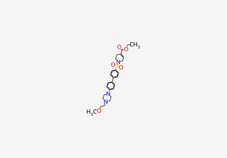 CCOC(=O)C1=CCN(S(=O)(=O)c2ccc(-c3ccc(N4CCN(CCOC)CC4)cc3)cc2)CC1